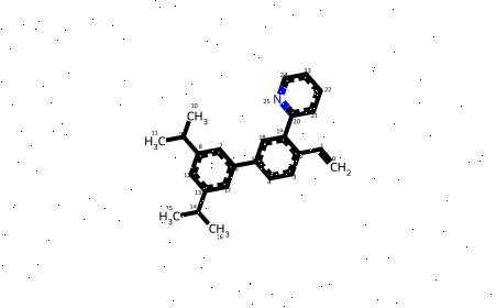 C=Cc1ccc(-c2cc(C(C)C)cc(C(C)C)c2)cc1-c1ccccn1